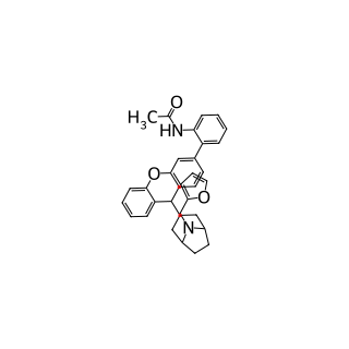 CC(=O)Nc1ccccc1-c1ccc2c(c1)Oc1ccccc1C2C1CC2CCC(C1)N2Cc1ccco1